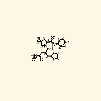 O=C(C[C@@H](CC1CCCC1)CN1CC2(CC2)C[C@H]1C(=O)Nc1cnccn1)NO